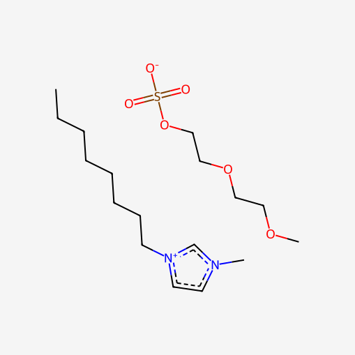 CCCCCCCC[n+]1ccn(C)c1.COCCOCCOS(=O)(=O)[O-]